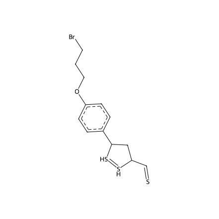 S=CC1CC(c2ccc(OCCCBr)cc2)[SH]=[SH]1